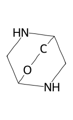 C1NC2CNC1CO2